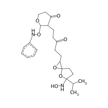 CC(C)C1(NO)CCC2(OC2CCC(=O)CCC2C(=O)CCOC2ONc2ccccc2)O1